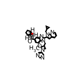 COc1cc(C(=O)N2C[C@H]3CC[C@@H]2[C@@H]3N)cc2nc(-c3cc4cccnc4n3CC3CC3)n(CC3CN(c4cncnc4)C3)c12